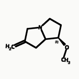 C=C1CC2[C@H](OC)CCN2C1